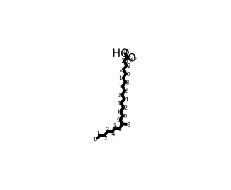 CCCCCC=CC(C)CCCCCCCCCCCCCCCC(=O)O